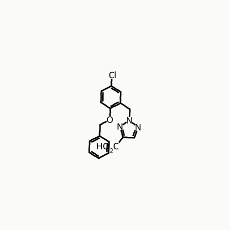 O=C(O)c1cnn(Cc2cc(Cl)ccc2OCc2ccccc2)n1